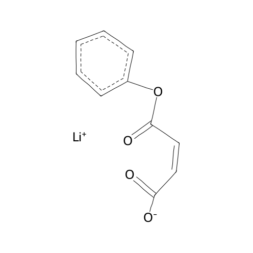 O=C([O-])/C=C\C(=O)Oc1ccccc1.[Li+]